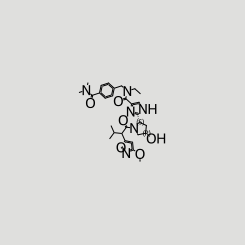 CCN(Cc1ccc(C(=O)N(C)C)cc1)C(=O)c1c[nH]c([C@@H]2C[C@@H](O)CN2C(=O)C(c2cc(OC)no2)C(C)C)n1